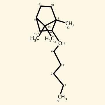 CCCCCOC1CC2CCC1(C)C2(C)C